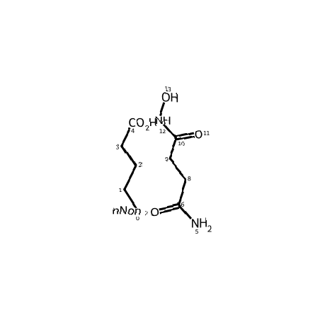 CCCCCCCCCCCCC(=O)O.NC(=O)CCC(=O)NO